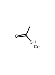 CC(=O)S.[Ce]